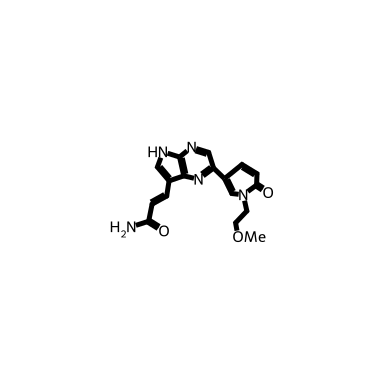 COCCn1cc(-c2cnc3[nH]cc(C=CC(N)=O)c3n2)ccc1=O